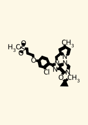 Cc1ccnc(Cn2c(-c3ccc(OCCCS(C)(=O)=O)cc3Cl)nc3c(OC4(C)CC4)ncnc32)c1